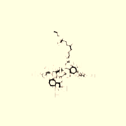 C=CCOC(=O)CCC(C)=CCCOC(=O)C[C@@H](NC(=O)[C@@H](Cc1c(Cl)[nH]c2ccccc12)N(C)C(=O)[C@H](C)NC(=O)OC(C)(C)C)c1ccc(O[Si](C)(C)C(C)(C)C)c(Cl)c1